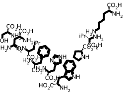 CC(C)C[C@H](N)C(=O)O.CC(C)[C@H](N)C(=O)O.NC(=O)C[C@H](N)C(=O)O.NCCCC[C@H](N)C(=O)O.N[C@@H](CO)C(=O)O.N[C@@H](Cc1c[nH]c2ccccc12)C(=O)O.N[C@@H](Cc1c[nH]cn1)C(=O)O.N[C@@H](Cc1ccccc1)C(=O)O.O=C(O)[C@@H]1CCCN1